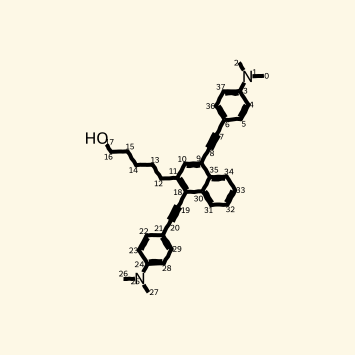 CN(C)c1ccc(C#Cc2cc(CCCCCO)c(C#Cc3ccc(N(C)C)cc3)c3ccccc23)cc1